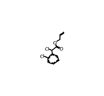 C=CCOC(=O)C(Cl)c1ccccc1Cl